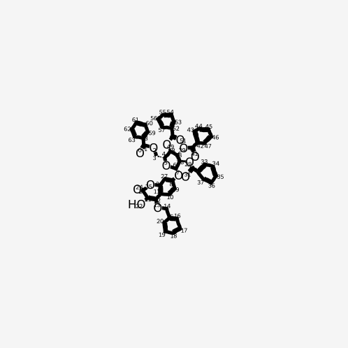 O=C(OC[C@H]1O[C@@H](Oc2ccc3c(OCc4ccccc4)c(O)c(=O)oc3c2)[C@H](OC(=O)c2ccccc2)[C@@H](OC(=O)c2ccccc2)[C@@H]1OC(=O)c1ccccc1)c1ccccc1